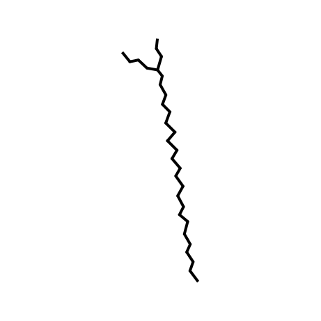 CCCCCCCCCCCCCCCCCCCCCCCC(CCC)CCCC